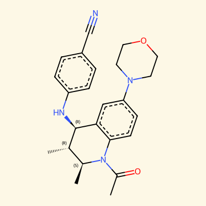 CC(=O)N1c2ccc(N3CCOCC3)cc2[C@H](Nc2ccc(C#N)cc2)[C@@H](C)[C@@H]1C